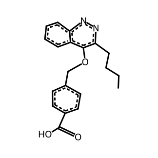 CCCCc1nnc2ccccc2c1OCc1ccc(C(=O)O)cc1